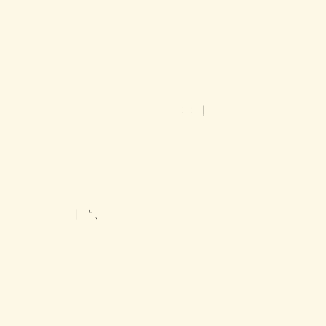 CC(C)O.c1cc[nH]c1